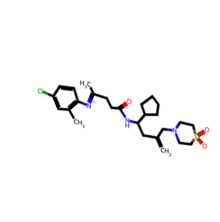 C=C(CC(NC(=O)CC/C(C)=N/c1ccc(Cl)cc1C)C1CCCC1)CN1CCS(=O)(=O)CC1